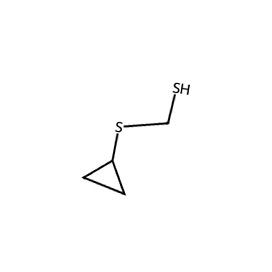 SCSC1CC1